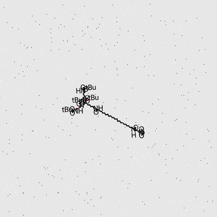 CC(C)(C)OC(=O)NCCCCN(CC(CCCCCCNC(=O)CCCCCCCCCCCCCCCCCCCCCCCNC(=O)CCCN1C(=O)C=CC1=O)CN(CCCCNC(=O)OC(C)(C)C)C(=O)OC(C)(C)C)C(=O)OC(C)(C)C